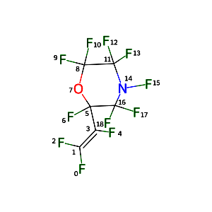 FC(F)=C(F)C1(F)OC(F)(F)C(F)(F)N(F)C1(F)F